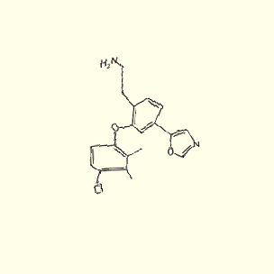 Cc1c(Cl)ccc(Oc2cc(-c3cnco3)ccc2CCN)c1C